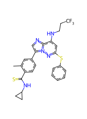 Cc1cc(-c2cnc3c(NCCC(F)(F)F)cc(Sc4ccccc4)nn23)ccc1C(=S)NC1CC1